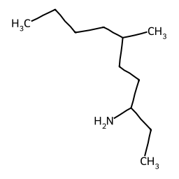 CCCCC(C)CCC(N)CC